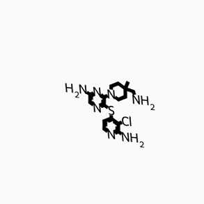 CC1(CN)CCN(c2nc(N)cnc2Sc2ccnc(N)c2Cl)CC1